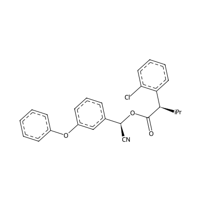 CC(C)[C@@H](C(=O)O[C@@H](C#N)c1cccc(Oc2ccccc2)c1)c1ccccc1Cl